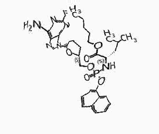 CCCCCOC(=O)[C@H](CC(C)C)NP(=O)(OC[C@@H]1CC[C@H](n2cnc3c(N)nc(F)nc32)O1)Oc1cccc2ccccc12